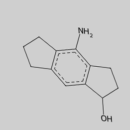 Nc1c2c(cc3c1CCC3O)CCC2